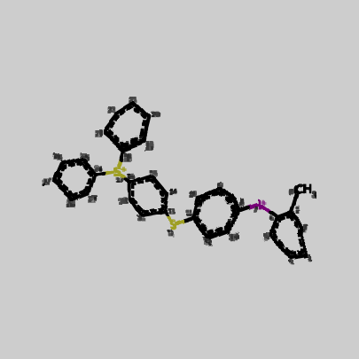 Cc1ccccc1[I+]c1ccc(Sc2ccc([S+](c3ccccc3)c3ccccc3)cc2)cc1